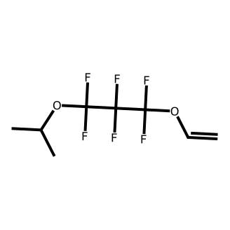 C=COC(F)(F)C(F)(F)C(F)(F)OC(C)C